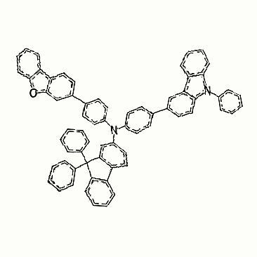 c1ccc(-n2c3ccccc3c3cc(-c4ccc(N(c5ccc(-c6ccc7c(c6)oc6ccccc67)cc5)c5ccc6c(c5)C(c5ccccc5)(c5ccccc5)c5ccccc5-6)cc4)ccc32)cc1